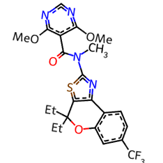 CCC1(CC)Oc2cc(C(F)(F)F)ccc2-c2nc(N(C)C(=O)c3c(OC)ncnc3OC)sc21